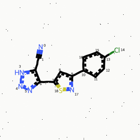 N#Cc1[nH]nnc1-c1cc(-c2ccc(Cl)cc2)ns1